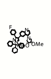 CO[C@H]1CN(c2ccnc3ccc(-c4cn(C(c5ccccc5)(c5ccccc5)C5C=CC=CC5)nc4-c4ccc(F)cc4)cc23)C[C@@H]1OC